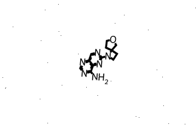 Nc1ncnc2cnc(N3CCC34CCOC4)nc12